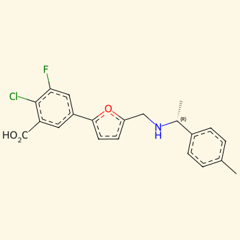 Cc1ccc([C@@H](C)NCc2ccc(-c3cc(F)c(Cl)c(C(=O)O)c3)o2)cc1